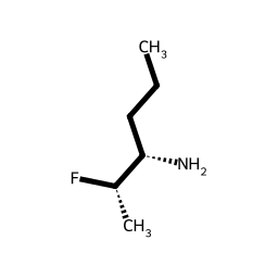 CCC[C@H](N)[C@H](C)F